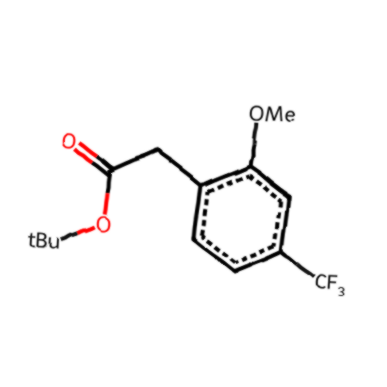 COc1cc(C(F)(F)F)ccc1CC(=O)OC(C)(C)C